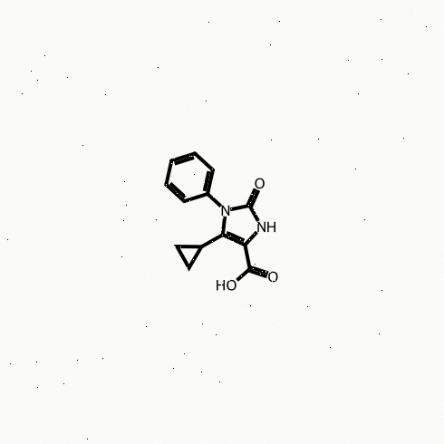 O=C(O)c1[nH]c(=O)n(-c2ccccc2)c1C1CC1